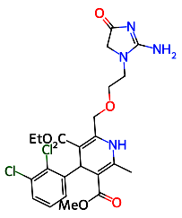 CCOC(=O)C1=C(COCCN2CC(=O)N=C2N)NC(C)=C(C(=O)OC)C1c1cccc(Cl)c1Cl